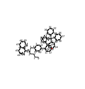 CCCCN(Cc1ccc(-c2ccccc2-c2nnnn2C(c2ccccc2)(c2ccccc2)c2ccccc2)cc1)c1nccc2cccnc12